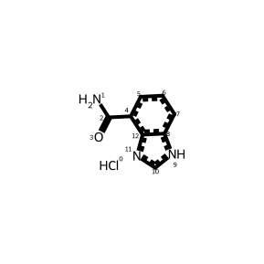 Cl.NC(=O)c1cccc2[nH]cnc12